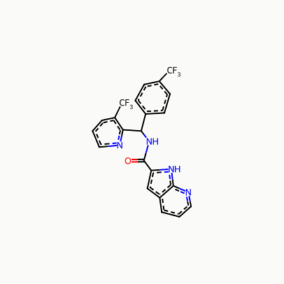 O=C(NC(c1ccc(C(F)(F)F)cc1)c1ncccc1C(F)(F)F)c1cc2cccnc2[nH]1